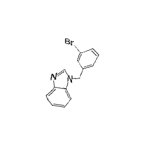 Brc1cccc(Cn2cnc3ccccc32)c1